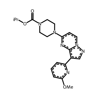 COc1cccc(-c2cnn3ccc(N4CCN(C(=O)OC(C)C)CC4)nc23)n1